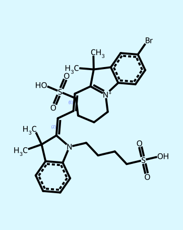 CC1(C)C(/C=C/C=C2\N(CCCCS(=O)(=O)O)c3ccccc3C2(C)C)=[N+](CCCCS(=O)(=O)O)c2ccc(Br)cc21